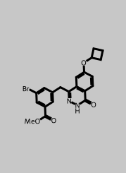 COC(=O)c1cc(Br)cc(Cc2n[nH]c(=O)c3ccc(OC4CCC4)cc23)c1